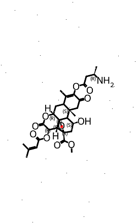 COC(=O)[C@@]12C[C@H](O)C3[C@@]4(C)CC(=O)C(OC(=O)C[C@@H](C)N)=C(C)C4C[C@H]4OC(=O)[C@H](OC(=O)C=C(C)C)[C@@H]1[C@@]34CO2